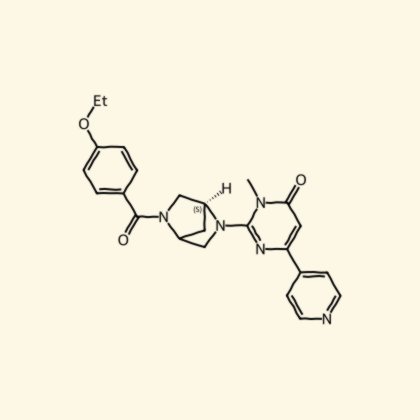 CCOc1ccc(C(=O)N2C[C@@H]3CC2CN3c2nc(-c3ccncc3)cc(=O)n2C)cc1